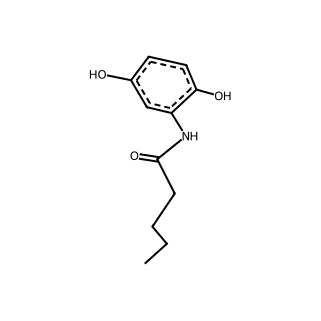 CCCCC(=O)Nc1cc(O)ccc1O